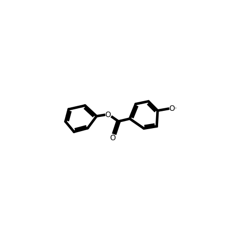 [O]c1ccc(C(=O)Oc2ccccc2)cc1